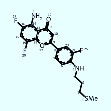 CSCCCNc1ccc(-c2cc(=O)c3c(N)c(F)cc(F)c3o2)cc1F